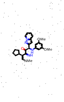 CN/C=C(\C(=N)C(=O)C(Nc1cc(OC)cc(OC)c1)c1cc2ccccn2n1)C1CCCC1